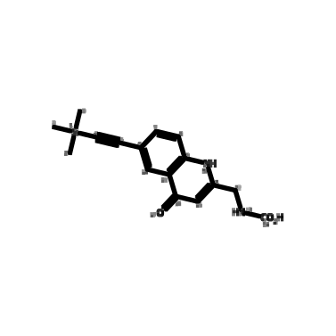 C[Si](C)(C)C#Cc1ccc2[nH]c(CNC(=O)O)cc(=O)c2c1